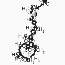 COc1cc(N2CCC([N+](C)(C)Cc3ccc(NC(=O)CNC(=O)C(NC(=O)CCCCCN4C(=O)C=CC4=O)C(C)C)cc3)CC2)cc2oc3c4c(=O)c5c(O)c(C)c6c(c5c-3nc12)C(=O)[C@@](C)(O/C=C/C[C@@H](C)[C@@H](OC(C)=O)[C@H](C)[C@H](O)[C@H](C)C[C@@H](C)/C=C/C=C(/C)C(=O)N4)O6